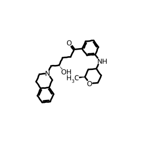 C[C@H]1CC(Nc2cccc(C(=O)CC[C@H](O)CN3CCc4ccccc4C3)c2)CCO1